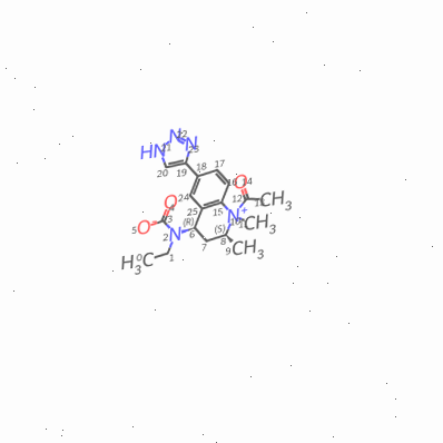 CCN(C(=O)[O-])[C@@H]1C[C@H](C)[N+](C)(C(C)=O)c2ccc(-c3c[nH]nn3)cc21